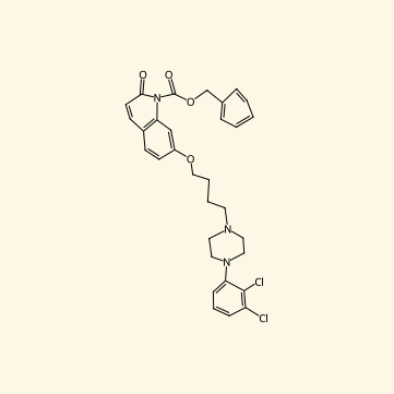 O=C(OCc1ccccc1)n1c(=O)ccc2ccc(OCCCCN3CCN(c4cccc(Cl)c4Cl)CC3)cc21